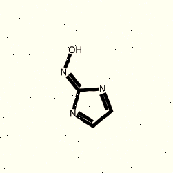 ON=C1N=CC=N1